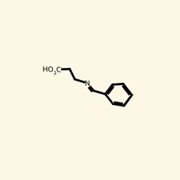 O=C(O)CCN=Cc1ccccc1